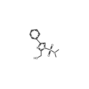 CN(C)S(=O)(=O)n1cc(-c2ccccc2)nc1CO